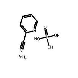 N#Cc1ccccn1.O=P(O)(O)O.[SnH2]